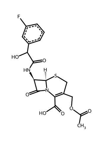 CC(=O)OCC1=C(C(=O)O)N2C(=O)[C@@H](NC(=O)C(O)c3cccc(F)c3)[C@H]2SC1